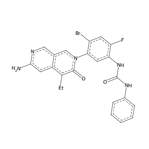 CCc1c(=O)n(-c2cc(NC(=O)Nc3ccccc3)c(F)cc2Br)cc2cnc(N)cc12